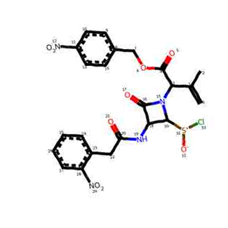 C=C(C)C(C(=O)OCc1ccc([N+](=O)[O-])cc1)N1C(=O)C(NC(=O)Cc2ccccc2[N+](=O)[O-])C1[S+]([O-])Cl